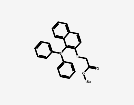 CC(C)(C)OC(=O)COc1ccc2ccccc2c1[S+](c1ccccc1)c1ccccc1